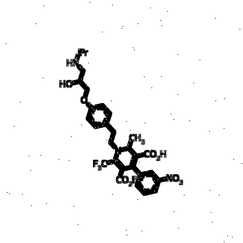 CCOC(=O)C1=C(C(F)(F)F)N(CCc2ccc(OCC(O)CNC(C)C)cc2)C(C)C(C(=O)O)=C1c1cccc([N+](=O)[O-])c1